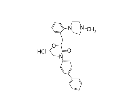 CN1CCN(c2ccccc2CC2OCCN(c3ccc(-c4ccccc4)cc3)C2=O)CC1.Cl